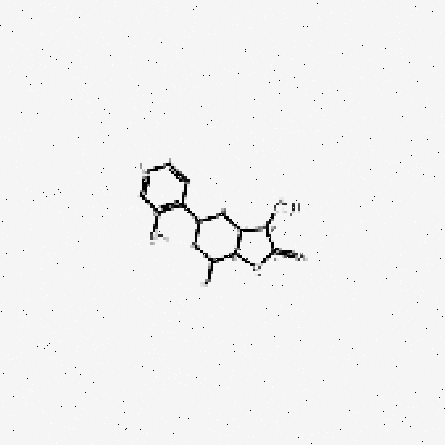 CC1CC(c2ccncc2N)CC2C1OC(=O)N2C(=O)O